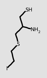 NC(CS)CSCCI